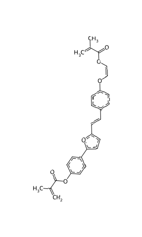 C=C(C)C(=O)O/C=C\Oc1ccc(/C=C/c2ccc(-c3ccc(OC(=O)C(=C)C)cc3)o2)cc1